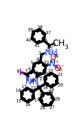 C[C@@H](NCc1cc2c(I)nn(C(c3ccccc3)(c3ccccc3)c3ccccc3)c2cc1[N+](=O)[O-])c1ccccc1